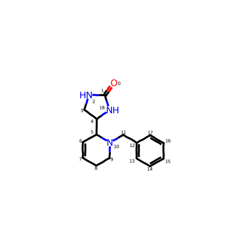 O=C1NCC(C2C=CCCN2Cc2ccccc2)N1